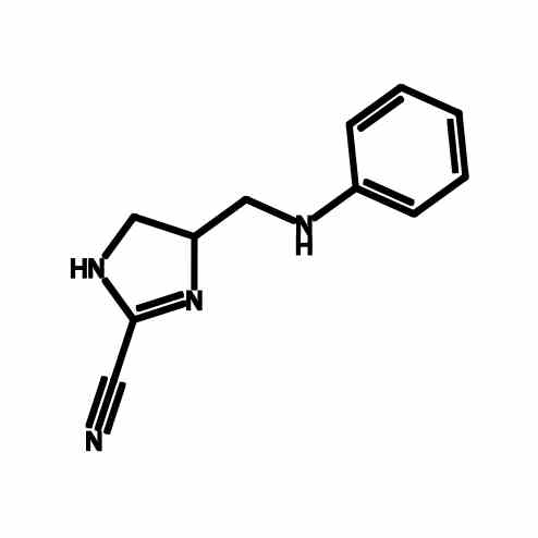 N#CC1=NC(CNc2ccccc2)CN1